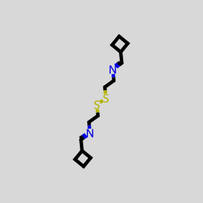 C(=N\CCSSCC/N=C/C1CCC1)/C1CCC1